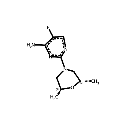 C[C@H]1CN(c2ncc(F)c(N)n2)C[C@H](C)O1